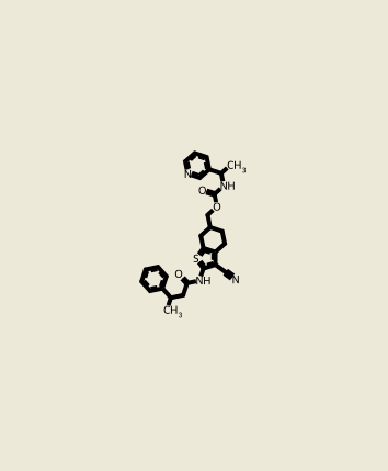 CC(CC(=O)Nc1sc2c(c1C#N)CCC(COC(=O)NC(C)c1cccnc1)C2)c1ccccc1